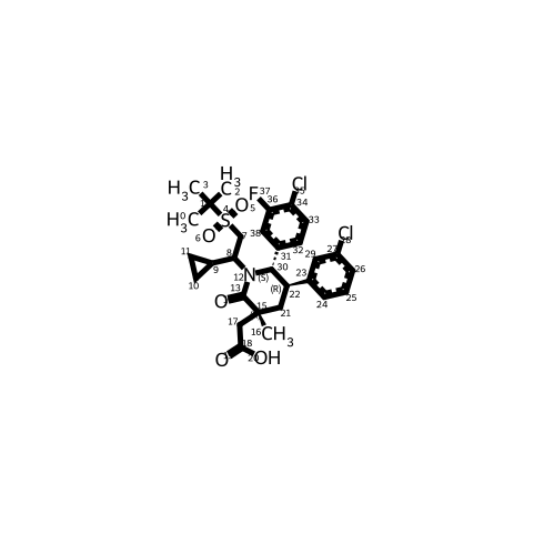 CC(C)(C)S(=O)(=O)CC(C1CC1)N1C(=O)[C@@](C)(CC(=O)O)C[C@H](c2cccc(Cl)c2)[C@H]1c1ccc(Cl)c(F)c1